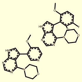 COc1ccc(F)c(Cl)c1-c1c[nH]c2ncnc(N3CCOCC3)c12.COc1ccncc1-c1c[nH]c2ncnc(N3CCOCC3)c12